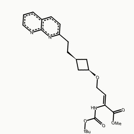 COC(=O)C(=CCO[C@H]1C[C@@H](CCc2ccc3cccnc3n2)C1)NC(=O)OC(C)(C)C